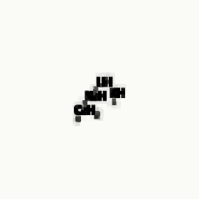 [CaH2].[KH].[LiH].[NaH]